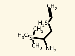 C=C[SiH2]CC(N)[Si](C)(C)C